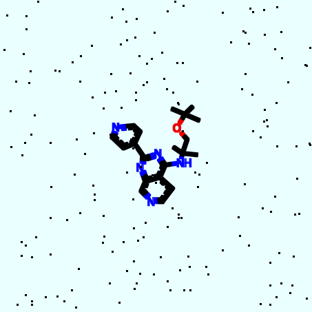 CC(C)(COC(C)(C)C)Nc1nc(-c2ccncc2)nc2cnccc12